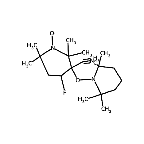 CC1(C)CCCC(C)(C)N1OC1(C#N)C(F)CC(C)(C)N([O])C1(C)C